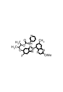 COc1cnc2c(-n3nc4cc(F)c(OC(C)C(C)OC(=O)Nc5cccnc5)cc4n3)cc(C)cc2n1